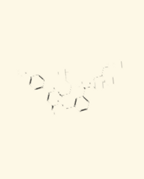 O=C(NCC(O)CO)c1cccc(Cn2c(CCCC(F)(F)F)nc(-c3ccc(Cl)cc3)cc2=O)c1